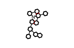 c1ccc(-c2ccc(N(c3ccc(-c4ccc(-c5ccccc5)c(-c5ccc6ccccc6c5)c4)cc3)c3ccccc3-c3ccccc3)c(-c3ccccc3)c2)cc1